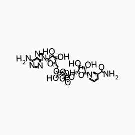 NC(=O)c1ccc[n+]([C@@H]2O[C@H](COP(=O)(O)OP(=O)(O)OC[C@H]3O[C@@H](n4cnc5c(N)ncnc54)[C@@H](O)[C@H]3O)[C@H](O)[C@@H]2O)c1